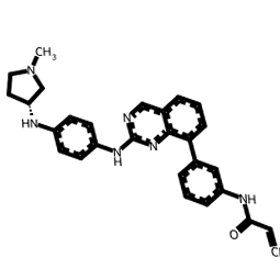 C=CC(=O)Nc1cccc(-c2cccc3cnc(Nc4ccc(N[C@@H]5CCN(C)C5)cc4)nc23)c1